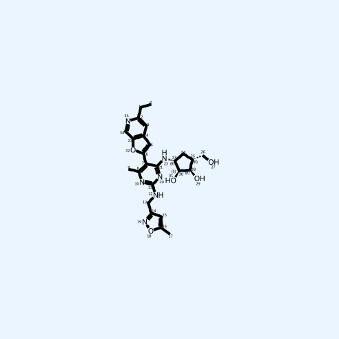 CCc1cc2cc(-c3c(C)nc(NCc4cc(C)on4)nc3N[C@@H]3C[C@H](CO)[C@@H](O)[C@H]3O)oc2cn1